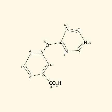 O=C(O)c1cccc(Oc2ncncn2)c1